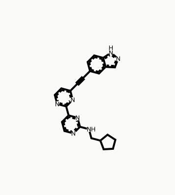 C(#Cc1ccnc(-c2ccnc(NCC3CCCC3)n2)n1)c1ccc2[nH]ncc2c1